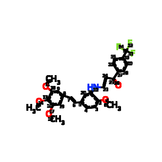 COc1ccc(C=Cc2cc(OC)c(OC)c(OC)c2)cc1NC=CC(=O)c1ccc(C(F)(F)F)cc1